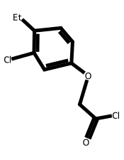 CCc1ccc(OCC(=O)Cl)cc1Cl